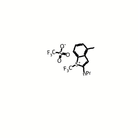 CCCc1cc2c(C)cccc2[s+]1C(F)(F)F.O=S(=O)([O-])C(F)(F)F